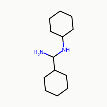 NC(NC1CCCCC1)C1CCCCC1